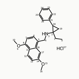 CCC1(NCc2ccc(OC)c3ccc(OC)cc23)CC1c1ccccc1.Cl